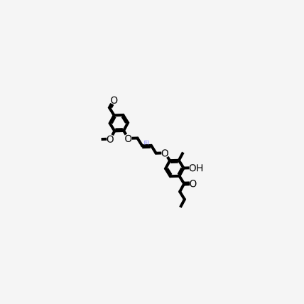 CCCC(=O)c1ccc(OC/C=C/COc2ccc(C=O)cc2OC)c(C)c1O